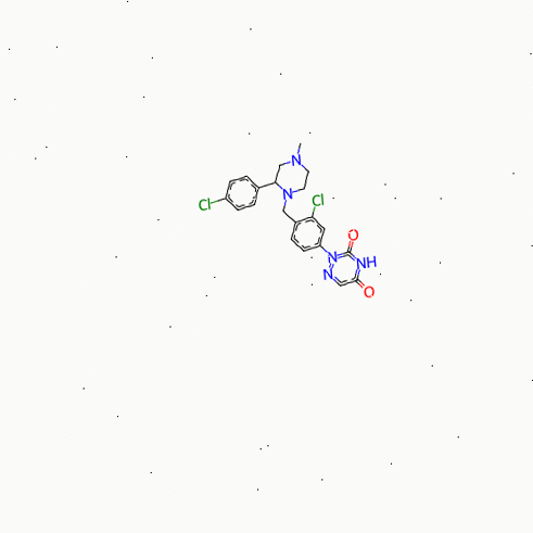 CN1CCN(Cc2ccc(-n3ncc(=O)[nH]c3=O)cc2Cl)C(c2ccc(Cl)cc2)C1